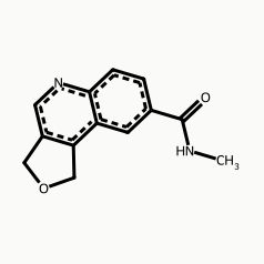 CNC(=O)c1ccc2ncc3c(c2c1)COC3